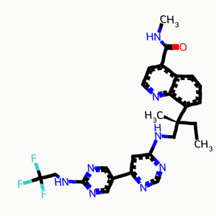 CC[C@](C)(CNc1cc(-c2cnc(NCC(F)(F)F)nc2)ncn1)c1cccc2c(C(=O)NC)ccnc12